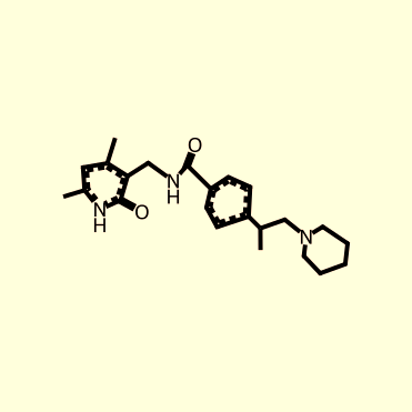 Cc1cc(C)c(CNC(=O)c2ccc(C(C)CN3CCCCC3)cc2)c(=O)[nH]1